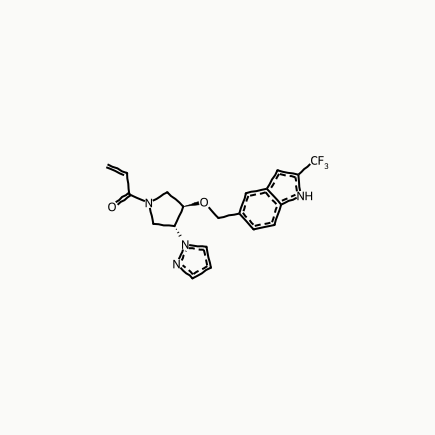 C=CC(=O)N1C[C@@H](n2cccn2)[C@H](OCc2ccc3[nH]c(C(F)(F)F)cc3c2)C1